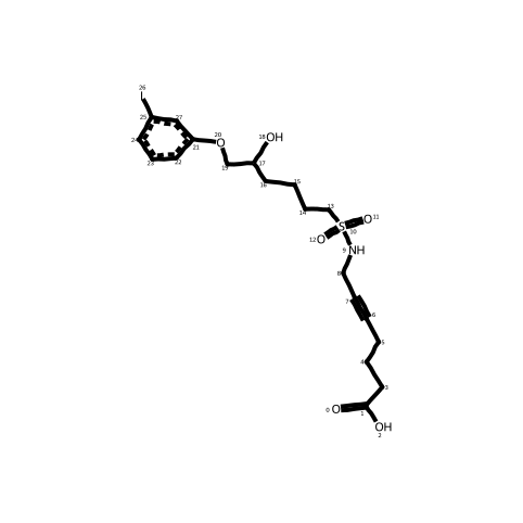 O=C(O)CCCC#CCNS(=O)(=O)CCCCC(O)COc1cccc(I)c1